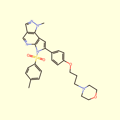 Cc1ccc(S(=O)(=O)n2c(-c3ccc(OCCCN4CCOCC4)cc3)cc3c4c(cnc32)cnn4C)cc1